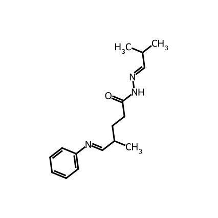 CC(C)/C=N/NC(=O)CCC(C)/C=N/c1ccccc1